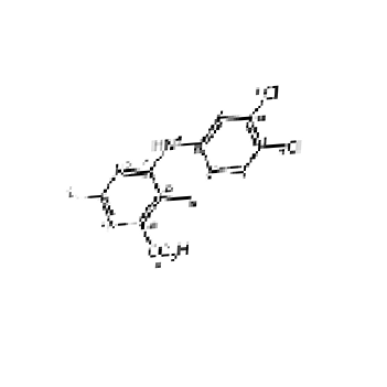 Cc1nc(Nc2ccc(Cl)c(Cl)c2)c(C)c(C(=O)O)n1